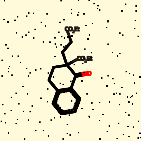 CCOC(=O)CCC1(C(=O)OCC)CCc2ccccc2C1=O